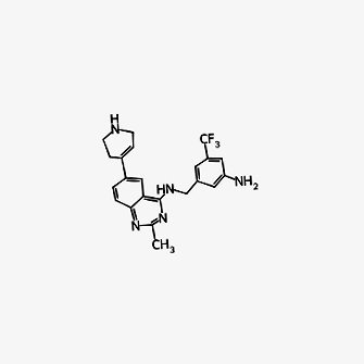 Cc1nc(NCc2cc(N)cc(C(F)(F)F)c2)c2cc(C3=CCNCC3)ccc2n1